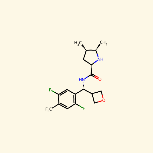 C[C@@H]1C[C@H](C(=O)N[C@@H](c2cc(F)c(C(F)(F)F)cc2F)C2COC2)N[C@@H]1C